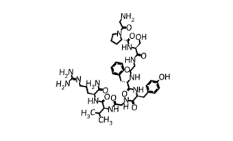 CC(C)[C@H](NC(=O)CNC(=O)[C@H](Cc1ccc(O)cc1)NC(=O)[C@H](Cc1ccccc1)NC(=O)CNC(=O)[C@H](CO)NC(=O)[C@@H]1CCCN1C(=O)CN)C(=O)N[C@@H](CCCN=C(N)N)C(N)=O